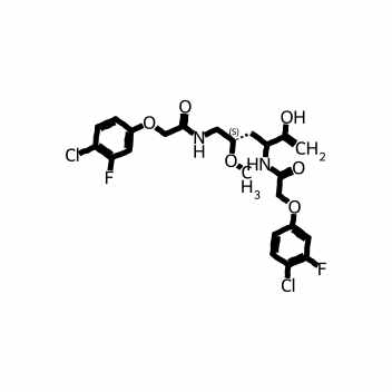 C=C(O)C(C[C@@H](CNC(=O)COc1ccc(Cl)c(F)c1)OC)NC(=O)COc1ccc(Cl)c(F)c1